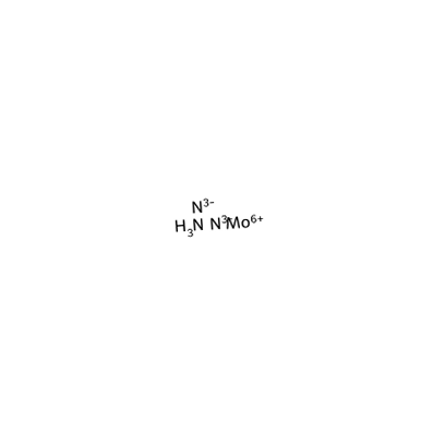 N.[Mo+6].[N-3].[N-3]